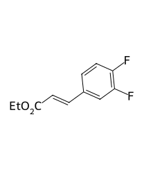 CCOC(=O)C=Cc1ccc(F)c(F)c1